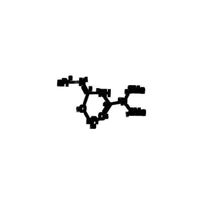 CCCN=C(NC(=O)N(SC)SC)OCCC